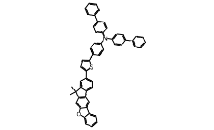 CC1(C)c2cc(-c3ccc(-c4ccc(N(c5ccc(-c6ccccc6)cc5)c5ccc(-c6ccccc6)cc5)cc4)s3)ccc2-c2cc3c(cc21)oc1ccccc13